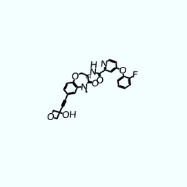 CN1C(=O)[C@@H](NC(=O)c2cc(Oc3ccccc3F)ccn2)COc2ccc(C#CC3(O)COC3)cc21